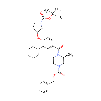 C[C@H]1CN(C(=O)OCc2ccccc2)CCN1C(=O)c1ccc(O[C@H]2CCN(C(=O)OC(C)(C)C)C2)c(C2CCCCC2)c1